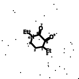 CCC1CCN(CC)C(=O)C1=O